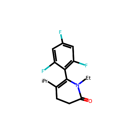 CCN1C(=O)CCC(C(C)C)=C1c1c(F)cc(F)cc1F